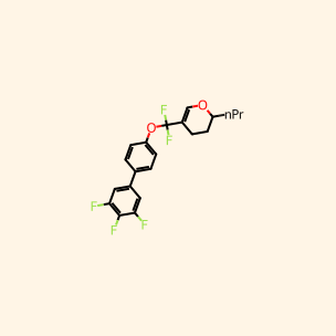 CCCC1CCC(C(F)(F)Oc2ccc(-c3cc(F)c(F)c(F)c3)cc2)=CO1